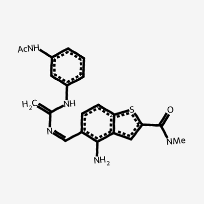 C=C(/N=C\c1ccc2sc(C(=O)NC)cc2c1N)Nc1cccc(NC(C)=O)c1